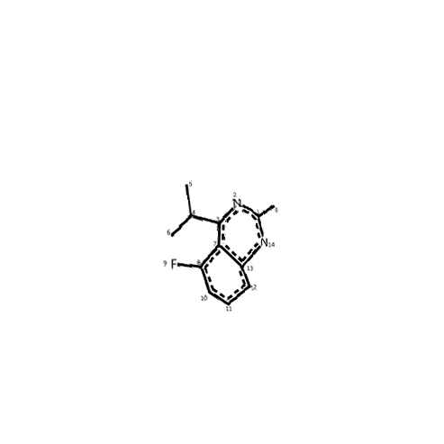 Cc1nc(C(C)C)c2c(F)cccc2n1